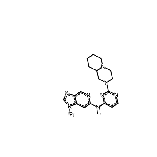 CC(C)n1cnc2cnc(Nc3ccnc(N4CCN5CCCCC5C4)n3)cc21